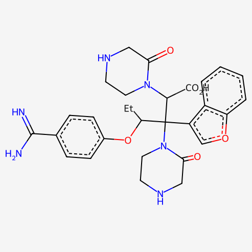 CCC(Oc1ccc(C(=N)N)cc1)C(c1coc2ccccc12)(C(C(=O)O)N1CCNCC1=O)N1CCNCC1=O